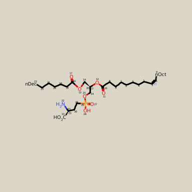 CCCCCCCC/C=C\CCCCCCCC(=O)O[C@H](COC(=O)CCCCCCCCCCCCCCC)COP(=O)(O)CC[C@H](N)C(=O)O